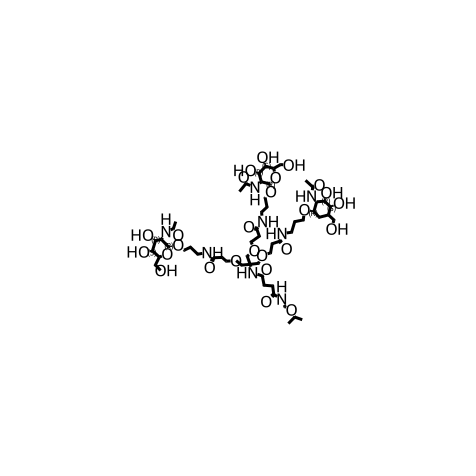 CC(=O)NC1[C@H](OCCCNC(=O)CCOCC(COCCC(=O)NCCCO[C@@H]2OC(CO)[C@@H](O)[C@H](O)C2NC(C)=O)(COCCC(=O)NCCCO[C@@H]2CC(CO)[C@H](O)[C@H](O)C2NC(C)=O)NC(=O)CCC(=O)NCOC(C)C)OC(CO)[C@@H](O)[C@@H]1O